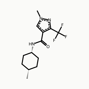 Cn1cc(C(=O)N[C@H]2CC[C@@H](C)CC2)c(C(F)(F)F)n1